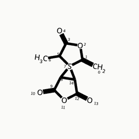 C=C1OC(=O)C(C)S12C1C(=O)OC(=O)C12